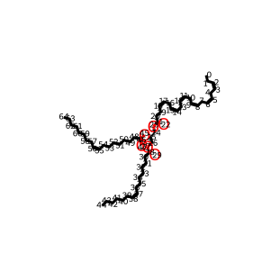 CC/C=C\C/C=C\C/C=C\C/C=C\C/C=C\C/C=C\CCC(=O)OC[C@@H](COC(=O)CCCCCCC/C=C\CCCCCC)OC(=O)CCCCCCC/C=C\CCCCCCCC